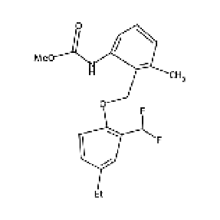 CCc1ccc(OCc2c(C)cccc2NC(=O)OC)c(C(F)F)c1